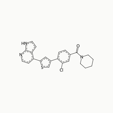 O=C(c1ccc(-c2csc(-c3ccnc4[nH]ccc34)c2)c(Cl)c1)N1CCCCC1